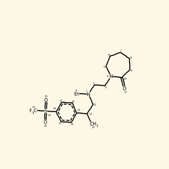 CCN(CCN1CCCCCC1=O)CC(C)c1ccc(S(=O)(=O)C(F)(F)F)cc1